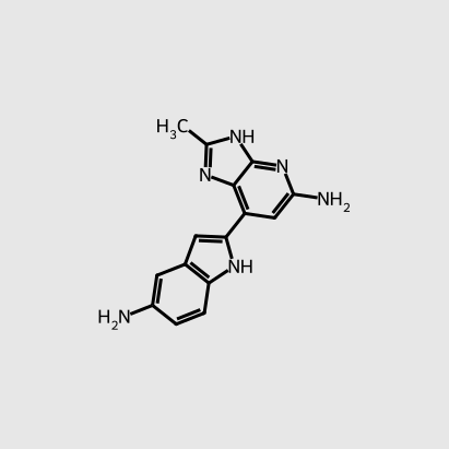 Cc1nc2c(-c3cc4cc(N)ccc4[nH]3)cc(N)nc2[nH]1